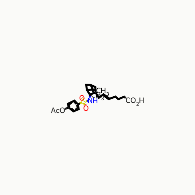 CC(=O)Oc1ccc(S(=O)(=O)NC2C(CC=CCCCC(=O)O)CC3CC2C3(C)C)cc1